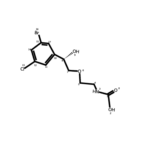 O=C(O)NCCOC[C@@H](O)c1cc(Cl)cc(Br)c1